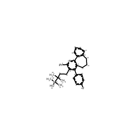 CC(C)c1nc2c(c(-c3ccc(F)cc3)c1CCC(C)(C)[Si](C)(C)O)CCCc1ccccc1-2